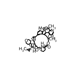 CCn1c(-c2cccnc2[C@H](C)OC)c2c3cc(ccc31)-c1csc(n1)[C@@H](OC1CCOCC1)[C@H](NC(=O)[C@H]1C[C@@H]1C)C(=O)N1CCC[C@H](N1)C(=O)OCC(C)(C)C2